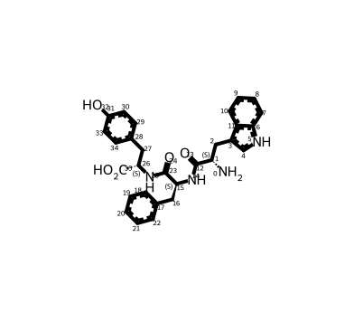 N[C@@H](Cc1c[nH]c2ccccc12)C(=O)N[C@@H](Cc1ccccc1)C(=O)N[C@@H](Cc1ccc(O)cc1)C(=O)O